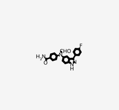 NC(=O)c1ccc(N(C=O)c2ccc3[nH]nc(-c4ccc(F)cc4)c3c2)cc1